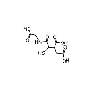 O=C(O)CNC(=O)C(O)C(CC(=O)O)C(=O)O